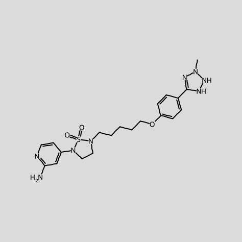 CN1N=C(c2ccc(OCCCCCN3CCN(c4ccnc(N)c4)S3(=O)=O)cc2)NN1